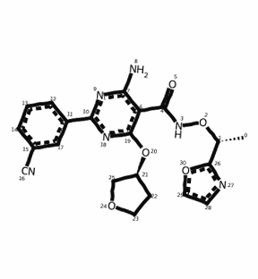 C[C@@H](ONC(=O)c1c(N)nc(-c2cccc(C#N)c2)nc1O[C@H]1CCOC1)c1ncco1